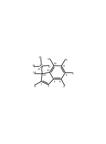 CC1=Cc2c(C)c(C)c(C)c(C)c2C1(C)[Si](C)(C)C